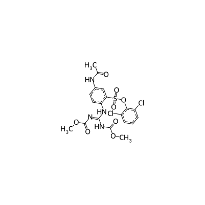 COC(=O)N=C(NC(=O)OC)Nc1ccc(NC(C)=O)cc1S(=O)(=O)Oc1c(Cl)cccc1Cl